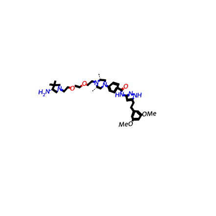 COc1cc(CCc2cc(NC(=O)c3ccc(N4C[C@@H](C)N(CCOCCOCCN5C[C@H](N)C(C)(C)C5)[C@@H](C)C4)cc3)n[nH]2)cc(OC)c1